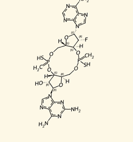 C=P1(S)OC[C@H]2O[C@@H](n3cnc4c(N)nc(N)nc43)[C@H](O)[C@@H]2OP(=C)(S)OC[C@@H]2O[C@H](n3cnc4c(N)ncnc43)[C@H](F)[C@H]2O1